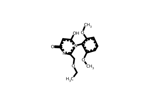 CCOCc1nc(=O)cc(O)n1-c1c(OC)cccc1OC